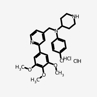 COc1cc(-c2cc(CN(c3ccc(Cl)cc3)C3CCNCC3)ccn2)cc(OC)c1OC.Cl.Cl